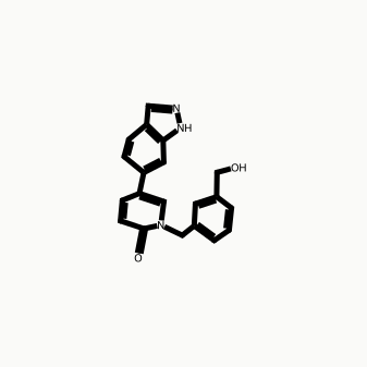 O=c1ccc(-c2ccc3cn[nH]c3c2)cn1Cc1cccc(CO)c1